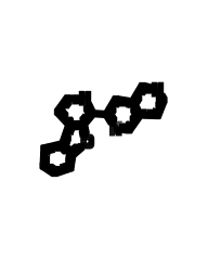 c1ccc2c(c1)oc1c(-c3cc4cnccc4cn3)nccc12